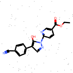 CCOC(=O)c1ccc(-n2ncc(-c3ccc(C#N)cc3)c2O)nc1